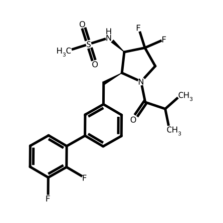 CC(C)C(=O)N1CC(F)(F)[C@H](NS(C)(=O)=O)[C@@H]1Cc1cccc(-c2cccc(F)c2F)c1